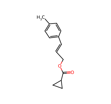 Cc1ccc(C=CCOC(=O)C2CC2)cc1